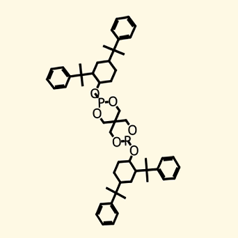 CC(C)(c1ccccc1)C1CCC(OP2OCC3(CO2)COP(OC2CCC(C(C)(C)c4ccccc4)CC2C(C)(C)c2ccccc2)OC3)C(C(C)(C)c2ccccc2)C1